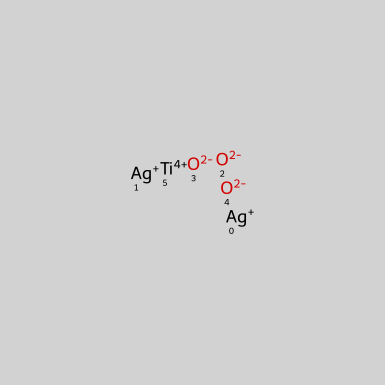 [Ag+].[Ag+].[O-2].[O-2].[O-2].[Ti+4]